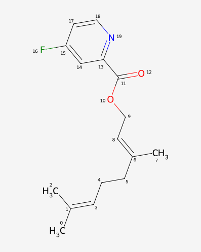 CC(C)=CCC/C(C)=C/COC(=O)c1cc(F)ccn1